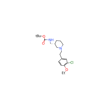 CCOc1ccc(CCN2CCC[C@@H](CNC(=O)OC(C)(C)C)C2)cc1Cl